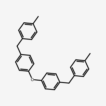 Cc1ccc(Cc2ccc(Oc3ccc(Cc4ccc(C)cc4)cc3)cc2)cc1